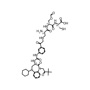 CC(C)(C)C(=O)CN1C(=O)[C@H](NC(=O)Nc2cccc(C(=O)CNC[C@H](N)C(=O)N[C@@H](COC=O)C(=O)N[C@@H](CS)C(=O)O)c2)CN(C2CCCCC2)c2ccccc21